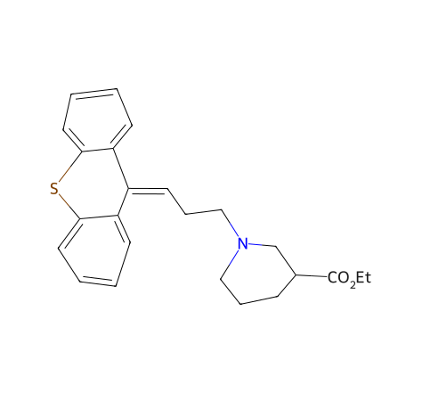 CCOC(=O)C1CCCN(CCC=C2c3ccccc3Sc3ccccc32)C1